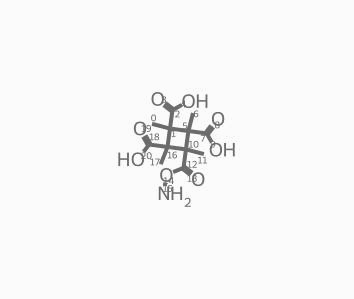 CC1(C(=O)O)C(C)(C(=O)O)C(C)(C(=O)ON)C1(C)C(=O)O